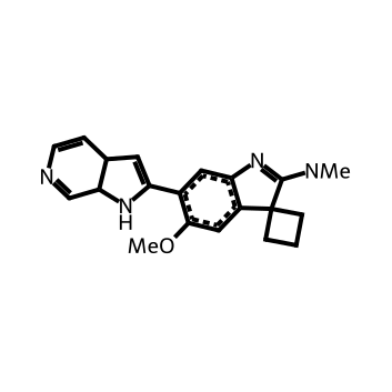 CNC1=Nc2cc(C3=CC4C=CN=CC4N3)c(OC)cc2C12CCC2